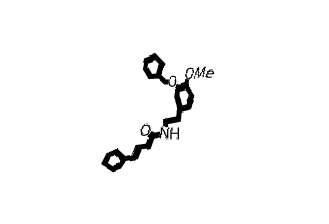 COc1ccc(CCNC(=O)CC=Cc2ccccc2)cc1OCc1ccccc1